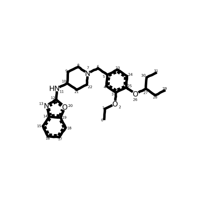 CCOc1cc(CN2CCC(Nc3nc4ccccc4o3)CC2)ccc1OC(CC)CC